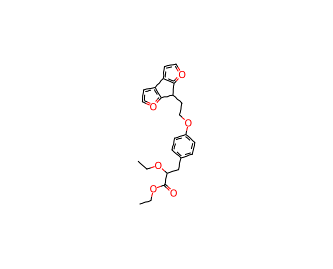 CCOC(=O)C(Cc1ccc(OCCC2c3occc3-c3ccoc32)cc1)OCC